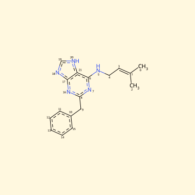 CC(C)=CCNc1nc(Cc2ccccc2)nc2nc[nH]c12